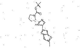 CC(C)(C)OC(=O)N1CCC[C@H]1c1ncc(-c2cc3sc(I)cc3s2)[nH]1